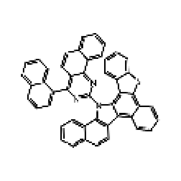 c1ccc2c(-c3nc(-n4c5c6ccccc6ccc5c5c6ccccc6c6sc7ccccc7c6c54)nc4c3ccc3ccccc34)cccc2c1